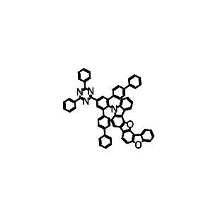 c1ccc(-c2ccc(-c3cc(-c4nc(-c5ccccc5)nc(-c5ccccc5)n4)cc(-c4ccc(-c5ccccc5)cc4)c3-n3c4ccccc4c4c5oc6c(ccc7oc8ccccc8c76)c5ccc43)cc2)cc1